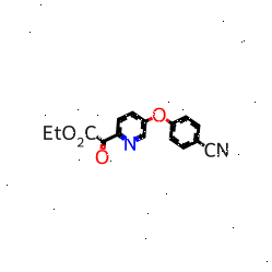 CCOC(=O)C(=O)c1ccc(Oc2ccc(C#N)cc2)cn1